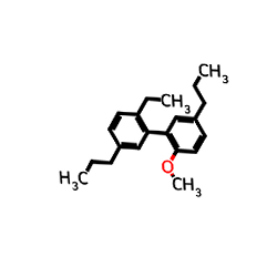 CCCc1ccc(CC)c(-c2cc(CCC)ccc2OC)c1